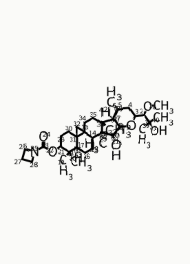 COC(C1C[C@@H](C)[C@H]2C(O1)[C@H](O)[C@@]1(C)C3CC[C@H]4C(C)(C)C(OC(=O)N5CCC5)CCC45CC35CCC21C)C(C)(C)O